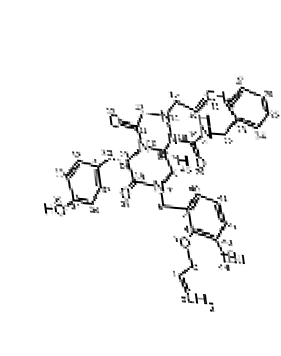 C=CCOc1c(CN2C[C@H]3N(C(=O)CN(CC=C)N3C(=O)NCc3ccccc3)[C@@H](Cc3ccc(O)cc3)C2=O)cccc1C(C)(C)C